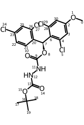 COc1cc(Cl)c([C@@H](OC(=O)NNC(=O)OC(C)(C)C)c2ccc(Cl)cc2Cl)c(Cl)c1